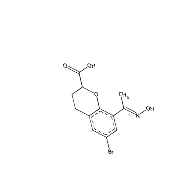 C/C(=N\O)c1cc(Br)cc2c1OC(C(=O)O)CC2